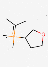 CC(C)=P(C)(C)C1CCOC1